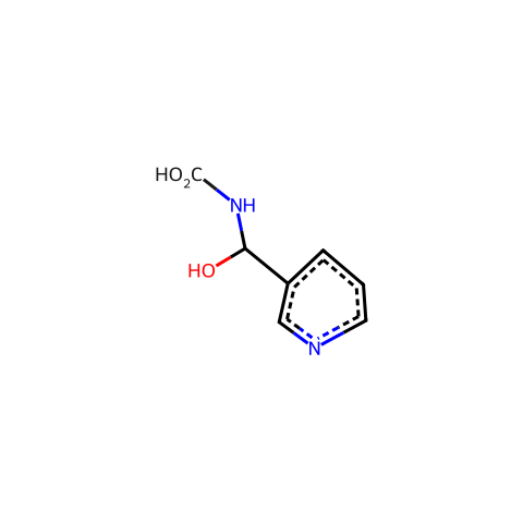 O=C(O)NC(O)c1cccnc1